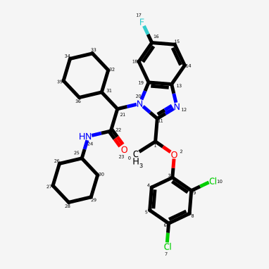 CC(Oc1ccc(Cl)cc1Cl)c1nc2ccc(F)cc2n1C(C(=O)NC1CCCCC1)C1CCCCC1